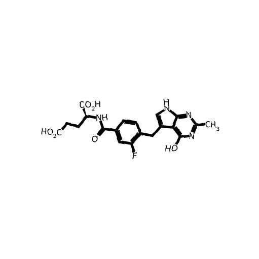 Cc1nc(O)c2c(Cc3ccc(C(=O)N[C@@H](CCC(=O)O)C(=O)O)cc3F)c[nH]c2n1